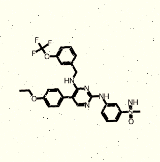 CCOc1ccc(-c2cnc(Nc3cccc(S(C)(=N)=O)c3)nc2NCc2cccc(OC(F)(F)F)c2)cc1